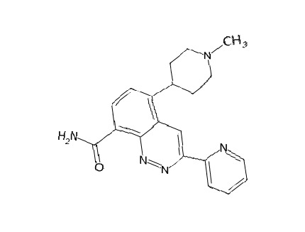 CN1CCC(c2ccc(C(N)=O)c3nnc(-c4ccccn4)cc23)CC1